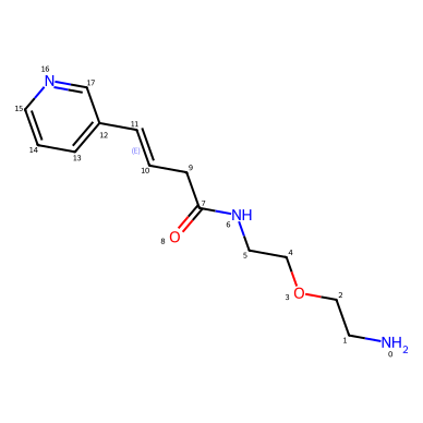 NCCOCCNC(=O)C/C=C/c1cccnc1